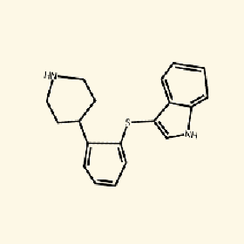 c1ccc(C2CCNCC2)c(Sc2c[nH]c3ccccc23)c1